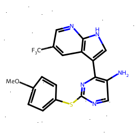 COc1ccc(Sc2ncc(N)c(-c3c[nH]c4ncc(C(F)(F)F)cc34)n2)cc1